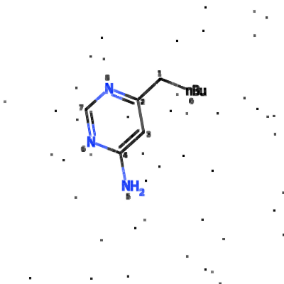 CCCCCc1cc(N)ncn1